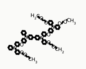 C=COCCOc1cccc(N(c2ccc(Oc3cccc(N(c4ccc(-c5ccc(N(c6ccccc6)c6ccc(Oc7cccc(N(c8ccccc8)c8cccc(OCOCCC)c8)c7)cc6)cc5)cc4)c4cccc(OCCOC=C)c4)c3)cc2)c2cccc(OCCOCC)c2)c1